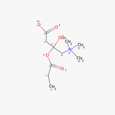 CCC(=O)OC(O)(CC(=O)[O-])C[N+](C)(C)C